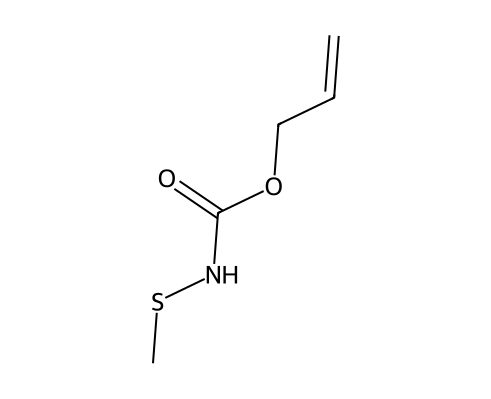 C=CCOC(=O)NSC